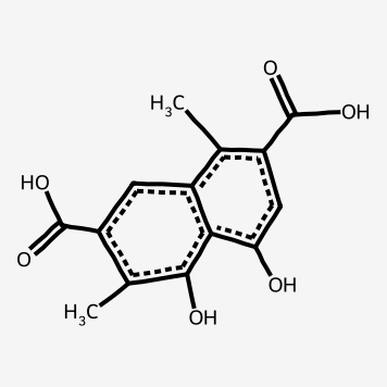 Cc1c(C(=O)O)cc2c(C)c(C(=O)O)cc(O)c2c1O